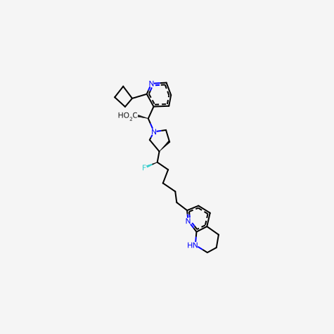 O=C(O)[C@@H](c1cccnc1C1CCC1)N1CC[C@@H]([C@H](F)CCCCc2ccc3c(n2)NCCC3)C1